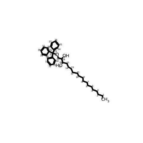 CCCCCCCCCCCCCCCCC(O)C(O)COC(c1ccccc1)(c1ccccc1)c1ccccc1